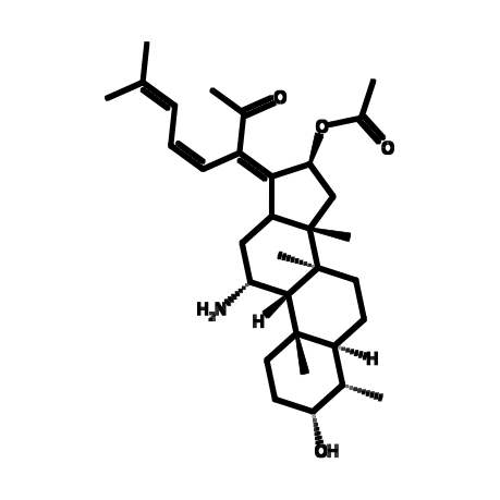 CC(=O)O[C@H]1C[C@@]2(C)C(C[C@@H](N)[C@H]3[C@@]4(C)CC[C@@H](O)[C@@H](C)[C@@H]4CC[C@@]32C)/C1=C(\C=C/C=C(C)C)C(C)=O